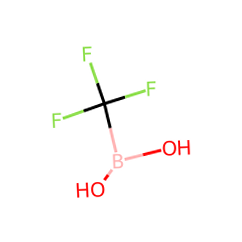 OB(O)C(F)(F)F